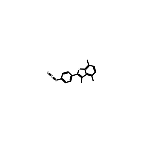 Cc1ccc(C)c2c(C)c(-c3ccc(N=C=S)cc3)sc12